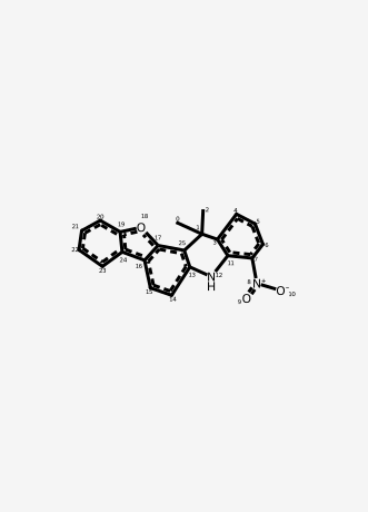 CC1(C)c2cccc([N+](=O)[O-])c2Nc2ccc3c(oc4ccccc43)c21